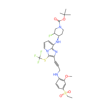 CCS(=O)(=O)c1ccc(NCC#Cc2nc3c(N[C@@H]4CCN(C(=O)OC(C)(C)C)C[C@@H]4F)cccn3c2SC(F)(F)F)c(OC)c1